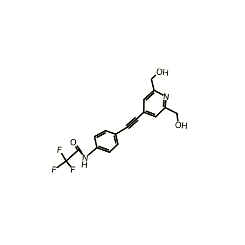 O=C(Nc1ccc(C#Cc2cc(CO)nc(CO)c2)cc1)C(F)(F)F